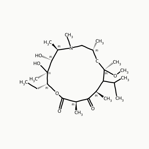 CC[C@H]1OC(=O)[C@H](C)C(=O)[C@H](C)C(C(C)C)[C@](C)(OC)C[C@@H](C)CN(C)[C@H](C)[C@@H](O)[C@]1(C)O